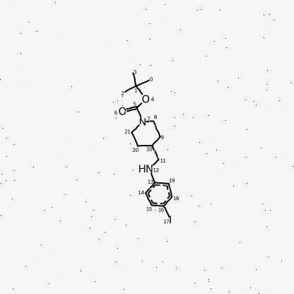 CC(C)(C)OC(=O)N1CCC(CNc2ccc(I)cc2)CC1